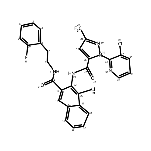 O=C(NCCc1ccccc1F)c1cc2ccccc2c(Cl)c1NC(=O)c1cc(C(F)(F)F)nn1-c1ncccc1Cl